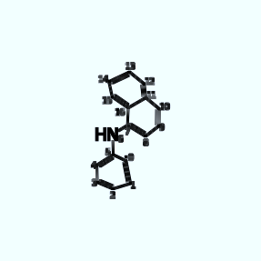 [c]1ccccc1Nc1cccc2ccccc12